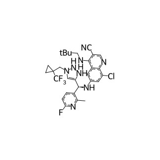 Cc1nc(F)ccc1[C@H](Nc1cc(Cl)c2ncc(C#N)c(NCC(C)(C)C)c2c1)C1=CN(CC2(C(F)(F)F)CC2)NN1